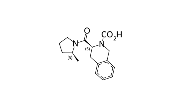 C[C@H]1CCCN1C(=O)[C@@H]1Cc2ccccc2CN1C(=O)O